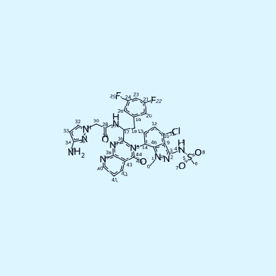 Cn1nc(NS(C)(=O)=O)c2c(Cl)ccc(-n3c(C(Cc4cc(F)cc(F)c4)NC(=O)Cn4ccc(N)n4)nc4ncccc4c3=O)c21